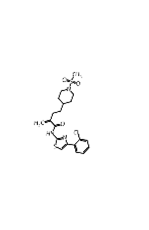 C=C(CCC1CCN(S(C)(=O)=O)CC1)C(=O)Nc1nc(-c2ccccc2Cl)cs1